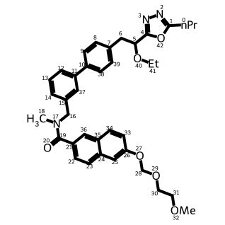 CCCc1nnc(C(Cc2ccc(-c3cccc(CN(C)C(=O)c4ccc5cc(OCOCCOC)ccc5c4)c3)cc2)OCC)o1